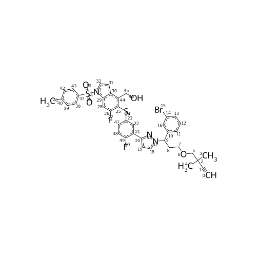 C#CC(C)(C)COCCC(c1cccc(Br)c1)n1ccc(-c2cc(Sc3c(F)cc4c(ccn4S(=O)(=O)c4ccc(C)cc4)c3CO)ccc2F)n1